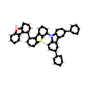 c1ccc(-c2ccc3c(c2)c2cc(-c4ccccc4)ccc2n3-c2cccc3c2sc2cccc(-c4cccc5oc6ccccc6c45)c23)cc1